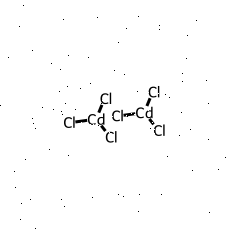 [Cl][Cd]([Cl])[Cl].[Cl][Cd]([Cl])[Cl]